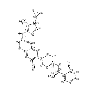 Cc1c(Nc2ncc3cc(Cl)c(C4CCN(C[C@H](O)c5ccccc5F)CC4)cc3n2)cnn1C1CC1